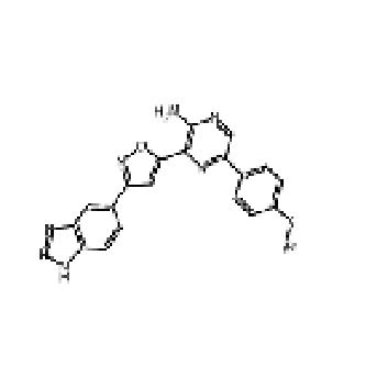 CC(C)Sc1ccc(-c2cnc(N)c(-c3cc(-c4ccc5[nH]nnc5c4)no3)n2)cc1